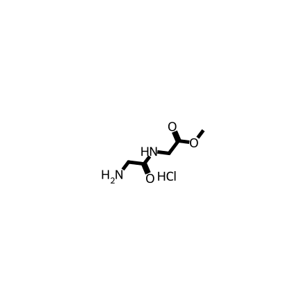 COC(=O)CNC(=O)CN.Cl